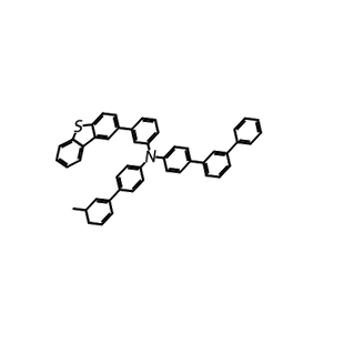 CC1C=C(c2ccc(N(c3ccc(-c4cccc(-c5ccccc5)c4)cc3)c3cccc(-c4ccc5sc6ccccc6c5c4)c3)cc2)C=CC1